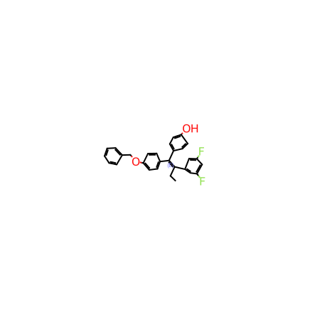 CC/C(=C(/c1ccc(O)cc1)c1ccc(OCc2ccccc2)cc1)c1cc(F)cc(F)c1